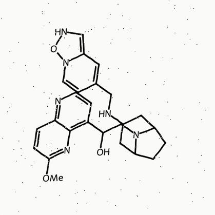 COc1ccc2nccc(C(O)CN3C4CCC3CC(NCC3=CC5=CNON5C=C3)C4)c2n1